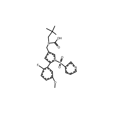 COc1ccc(F)c(-c2cc(CN(CC(C)(C)C)C(=O)O)cn2S(=O)(=O)c2cccnc2)c1